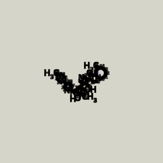 C=C1/C=C2/C(=O)N(c3cncc(-c4cc(Nc5ccc(N6CCN(C)CC6)cn5)c(=O)n(C)c4)c3CO)CCN2CCCCC1